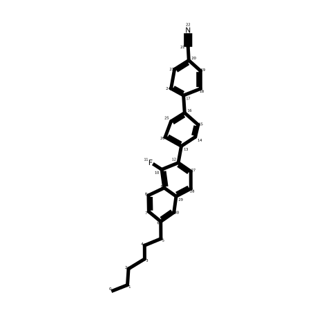 CCCCCCc1ccc2c(F)c(-c3ccc(-c4ccc(C#N)cc4)cc3)ccc2c1